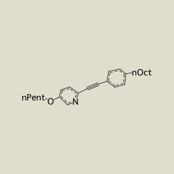 CCCCCCCCc1ccc(C#Cc2ccc(OCCCCC)cn2)cc1